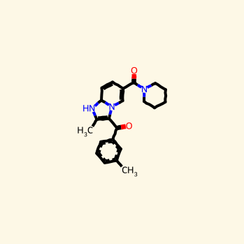 CC1=C(C(=O)c2cccc(C)c2)N2C=C(C(=O)N3CCCCC3)C=CC2N1